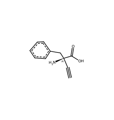 C#C[C@](N)(Cc1ccccc1)C(=O)O